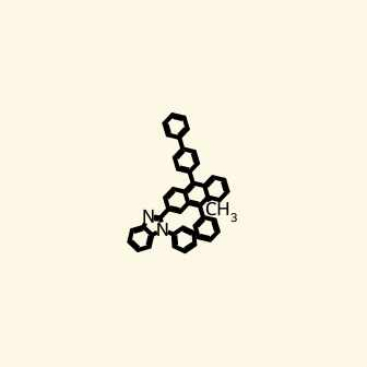 CC12CC=CC=C1C(c1ccc(-c3ccccc3)cc1)=c1ccc(-c3nc4ccccc4n3-c3ccccc3)cc1=C2c1ccccc1